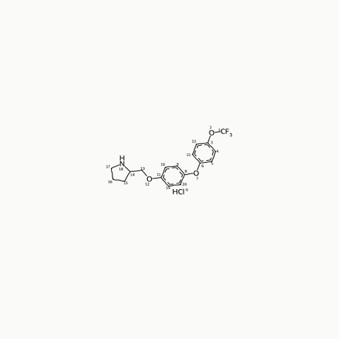 Cl.FC(F)(F)Oc1ccc(Oc2ccc(OCC3CCCN3)cc2)cc1